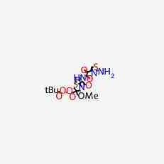 COCC1(C(=O)OCOC(=O)C(C)(C)C)CS[C@@H]2C(NC(=O)C(=O)c3csc(N)n3)C(=O)N2C1